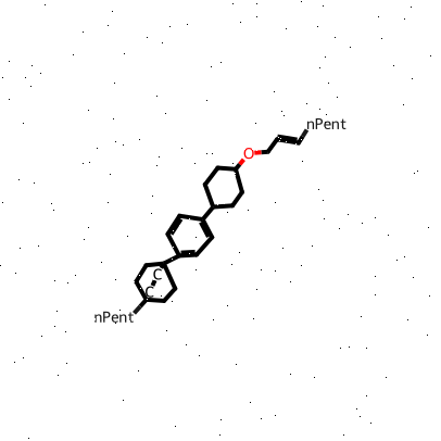 CCCCC/C=C/COC1CCC(c2ccc(C34CCC(CCCCC)(CC3)CC4)cc2)CC1